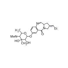 CC/C=C1/CC2C=Nc3ccc(OC4OC(C)C(NC)C(C)(O)C4O)cc3C(=O)N2C1